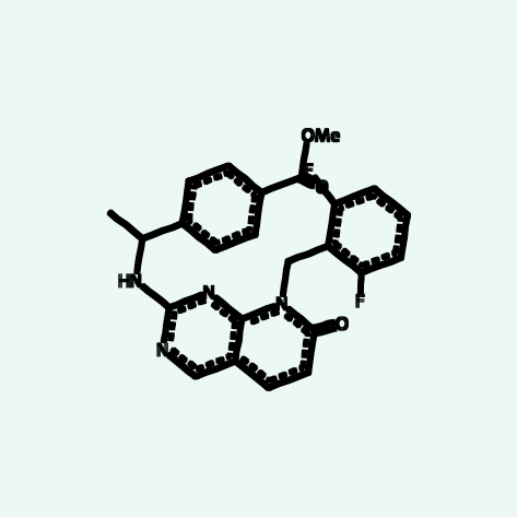 COC(=O)c1ccc(C(C)Nc2ncc3ccc(=O)n(Cc4c(F)cccc4F)c3n2)cc1